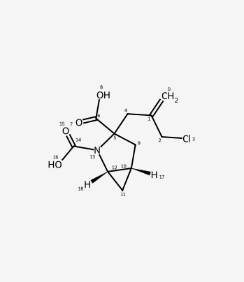 C=C(CCl)CC1(C(=O)O)C[C@@H]2C[C@@H]2N1C(=O)O